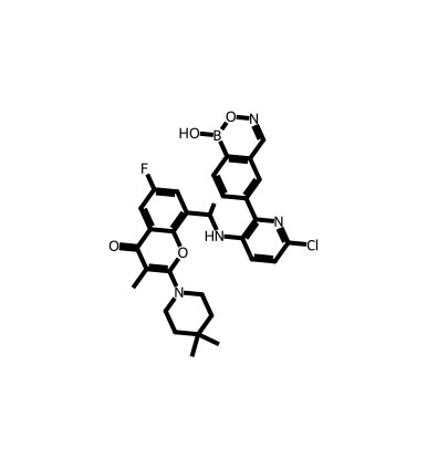 Cc1c(N2CCC(C)(C)CC2)oc2c(C(C)Nc3ccc(Cl)nc3-c3ccc4c(c3)C=NOB4O)cc(F)cc2c1=O